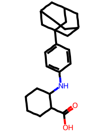 O=C(O)C1CCCCC1Nc1ccc(C23CC4CC(CC(C4)C2)C3)cc1